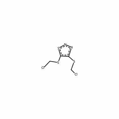 ClCSc1nnsc1SCCl